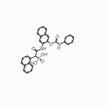 O=C(Nc1ccccc1)Oc1cc2ccccc2cc1NC(=O)C(c1cccc2ccccc12)P(=O)(O)O